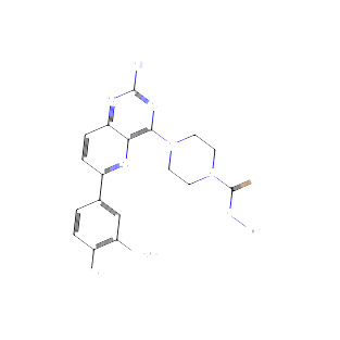 CCCCNC(=S)N1CCN(c2nc(N)nc3ccc(-c4ccc(OC)c(OC)c4)nc23)CC1